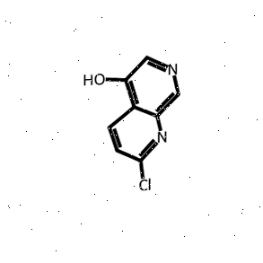 Oc1cncc2nc(Cl)ccc12